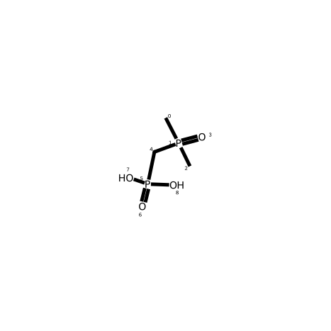 CP(C)(=O)CP(=O)(O)O